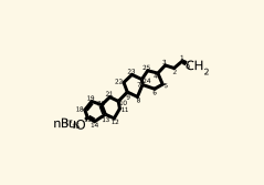 C=CCCC1CCC2CC(C3CCc4cc(OCCCC)ccc4C3)CCC2C1